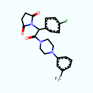 O=C(C(c1ccc(F)cc1)N1C(=O)CCC1=O)N1CCN(c2cccc(C(F)(F)F)c2)CC1